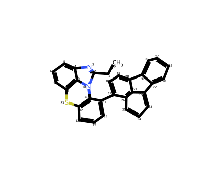 CCc1nc2cccc3c2n1-c1c(cccc1-c1ccc2c4c(cccc14)-c1ccccc1-2)S3